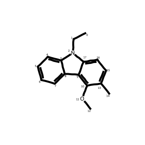 CCn1c2ccccc2c2c(OC)c(C)ccc21